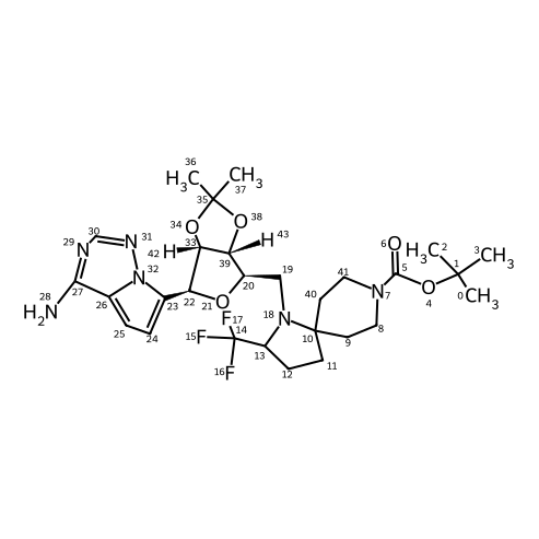 CC(C)(C)OC(=O)N1CCC2(CCC(C(F)(F)F)N2C[C@H]2O[C@@H](c3ccc4c(N)ncnn34)[C@@H]3OC(C)(C)O[C@@H]32)CC1